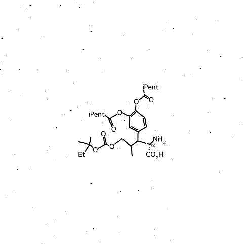 CCCC(C)C(=O)Oc1ccc(C(C(C)COC(=O)OC(C)(C)CC)[C@H](N)C(=O)O)cc1OC(=O)C(C)CCC